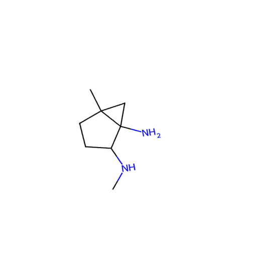 CNC1CCC2(C)CC12N